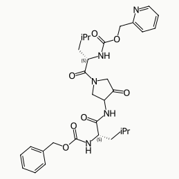 CC(C)C[C@H](NC(=O)OCc1ccccc1)C(=O)NC1CN(C(=O)[C@H](CC(C)C)NC(=O)OCc2ccccn2)CC1=O